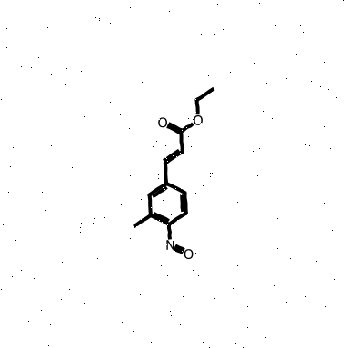 CCOC(=O)/C=C/c1ccc(N=O)c(C)c1